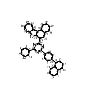 c1ccc(-c2nc(-c3ccc(-c4cccc5ccccc45)cc3)nc(-c3cc4ccccc4c4c3oc3ncccc34)n2)cc1